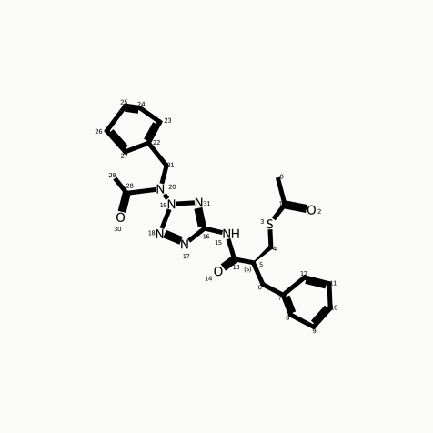 CC(=O)SC[C@@H](Cc1ccccc1)C(=O)Nc1nnn(N(Cc2ccccc2)C(C)=O)n1